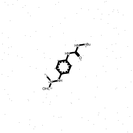 CCCCNC(=O)Nc1ccc(NN(I)C=O)cc1